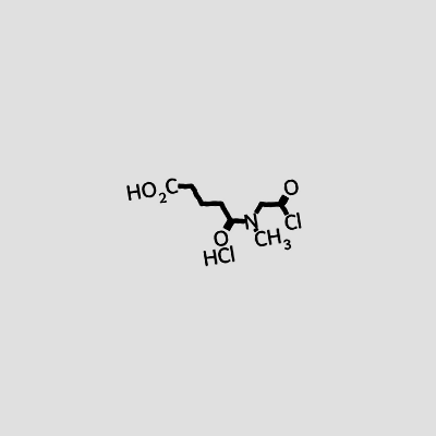 CN(CC(=O)Cl)C(=O)CCCC(=O)O.Cl